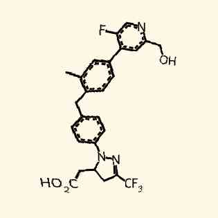 Cc1cc(-c2cc(CO)ncc2F)ccc1Cc1ccc(N2N=C(C(F)(F)F)CC2CC(=O)O)cc1